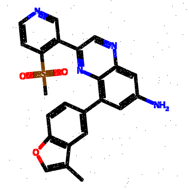 Cc1coc2ccc(-c3cc(N)cc4ncc(-c5cnccc5S(C)(=O)=O)nc34)cc12